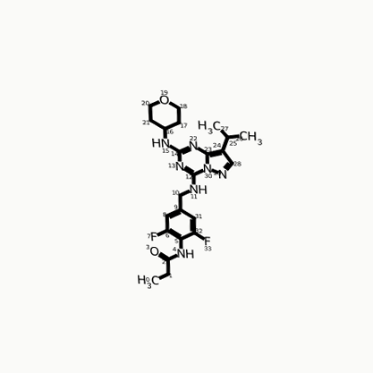 CCC(=O)Nc1c(F)cc(CNc2nc(NC3CCOCC3)nc3c(C(C)C)cnn23)cc1F